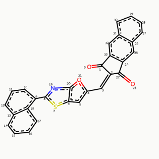 O=C1C(=Cc2cc3sc(-c4cccc5ccccc45)nc3o2)C(=O)c2cc3ccccc3cc21